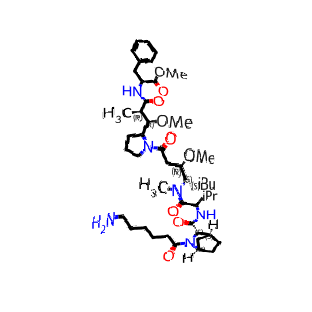 CC[C@H](C)[C@@H]([C@@H](CC(=O)N1CCCC1[C@H](OC)[C@@H](C)C(=O)NC(Cc1ccccc1)C(=O)OC)OC)N(C)C(=O)C(NC(=O)[C@@H]1[C@H]2CC[C@H](C2)N1C(=O)CCCCCN)C(C)C